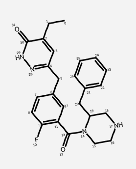 CCc1cc(Cc2ccc(F)c(C(=O)N3CCNCC3Cc3ccccc3)c2)n[nH]c1=O